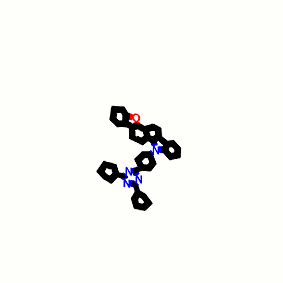 c1ccc(-c2nc(-c3ccccc3)nc(-c3ccc(-n4c5ccccc5c5ccc6c(ccc7c8ccccc8oc76)c54)cc3)n2)cc1